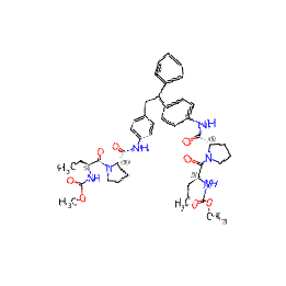 CC[C@H](NC(=O)OC)C(=O)N1CCC[C@H]1C(=O)Nc1ccc(CC(c2ccccc2)c2ccc(NC(=O)[C@@H]3CCCN3C(=O)[C@H](CC)NC(=O)OC)cc2)cc1